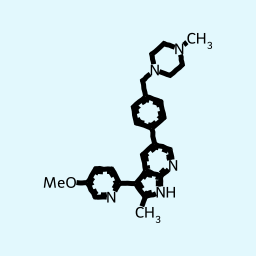 COc1ccc(-c2c(C)[nH]c3ncc(-c4ccc(CN5CCN(C)CC5)cc4)cc23)nc1